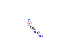 O=C1NCCCC1Nc1ccc(C2CCN(Cc3csc4c3CCNC4)CC2(F)F)cc1